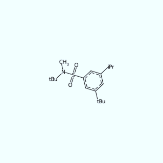 CC(C)c1cc(C(C)(C)C)cc(S(=O)(=O)N(C)C(C)(C)C)c1